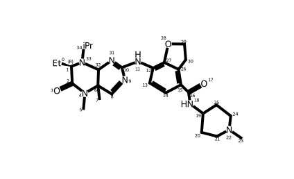 CC[C@@H]1C(=O)N(C)C2(C)C=NC(Nc3ccc(C(=O)NC4CCN(C)CC4)c4c3OCC4)=NC2N1C(C)C